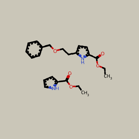 CCOC(=O)c1ccc(CCOCc2ccccc2)[nH]1.CCOC(=O)c1ccc[nH]1